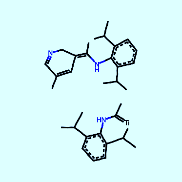 CC1=CC(=C(C)Nc2c(C(C)C)cccc2C(C)C)CN=C1.C[C](=[Ti])Nc1c(C(C)C)cccc1C(C)C